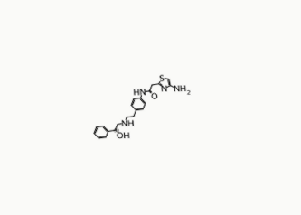 Nc1csc(CC(=O)Nc2ccc(CCNC[C@H](O)c3ccccc3)cc2)n1